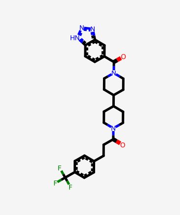 O=C(CCc1ccc(C(F)(F)F)cc1)N1CCC(C2CCN(C(=O)c3ccc4[nH]nnc4c3)CC2)CC1